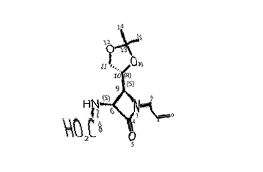 C=CCN1C(=O)[C@@H](NC(=O)O)[C@H]1[C@@H]1COC(C)(C)O1